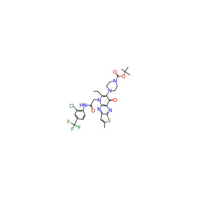 CCc1c(N2CCN(C(=O)OC(C)(C)C)CC2)c(=O)c2nc3sc(C)cc3nc2n1CC(=O)Nc1ccc(C(F)(F)F)cc1Cl